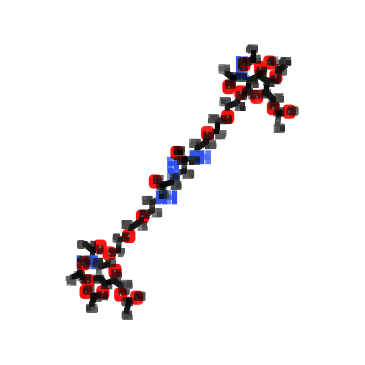 CC(=O)NC1C(OCCOCCOCCNC(=O)CNCC(=O)NCCOCCOCCOC2OC(COC(C)=O)C(OC(C)=O)C(OC(C)=O)C2NC(C)=O)OC(COC(C)=O)C(OC(C)=O)C1OC(C)=O